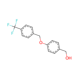 OCc1ccc(OCc2ccc(C(F)(F)F)cc2)cc1